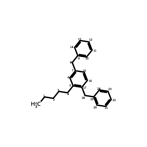 CCCCCc1cc(Cc2ccccc2)ccc1Cc1ccccc1